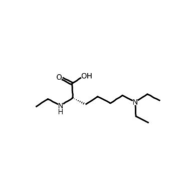 CCN[C@@H](CCCCN(CC)CC)C(=O)O